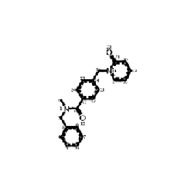 CN(Cc1ccccc1)C(=O)c1ccc(Cn2ccccc2=O)cc1